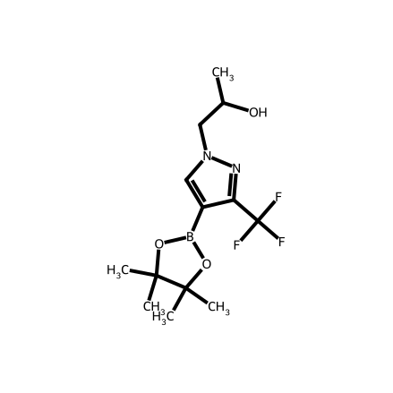 CC(O)Cn1cc(B2OC(C)(C)C(C)(C)O2)c(C(F)(F)F)n1